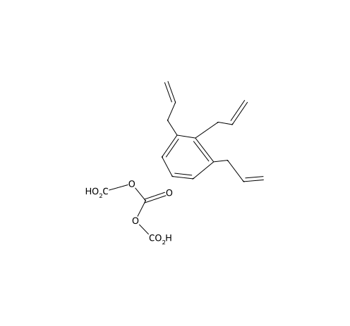 C=CCc1cccc(CC=C)c1CC=C.O=C(O)OC(=O)OC(=O)O